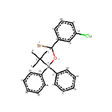 CC(C)(C)[Si](OC(Br)c1cccc(Cl)c1)(c1ccccc1)c1ccccc1